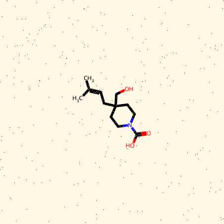 CC(C)=CCC1(CO)CCN(C(=O)O)CC1